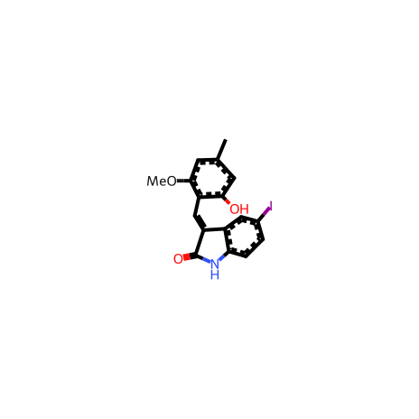 COc1cc(C)cc(O)c1C=C1C(=O)Nc2ccc(I)cc21